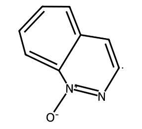 [O-][n+]1n[c]cc2ccccc21